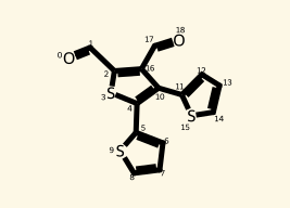 O=Cc1sc(-c2cccs2)c(-c2cccs2)c1C=O